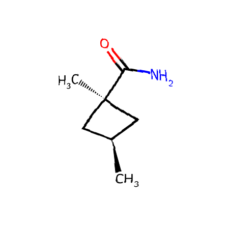 C[C@H]1C[C@@](C)(C(N)=O)C1